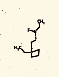 CCN(F)CCC1(CC)CCC1